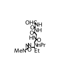 CCCN(CC(=O)NCC(=O)NC(=O)NC=O)C(CC)c1nnc(NC)o1